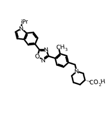 Cc1cc(CN2CCC[C@@H](C(=O)O)C2)ccc1-c1noc(-c2ccc3c(ccn3C(C)C)c2)n1